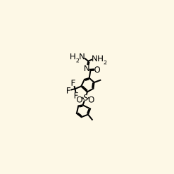 Cc1cccc(S(=O)(=O)c2cc(C)c(C(=O)N=C(N)N)cc2C(F)(F)F)c1